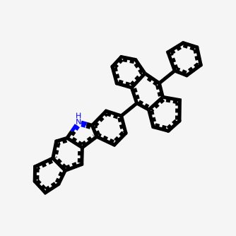 c1ccc(-c2c3ccccc3c(-c3ccc4c(c3)[nH]c3cc5ccccc5cc34)c3ccccc23)cc1